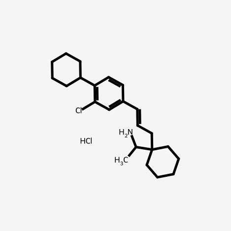 CC(N)C1(CC=Cc2ccc(C3CCCCC3)c(Cl)c2)CCCCC1.Cl